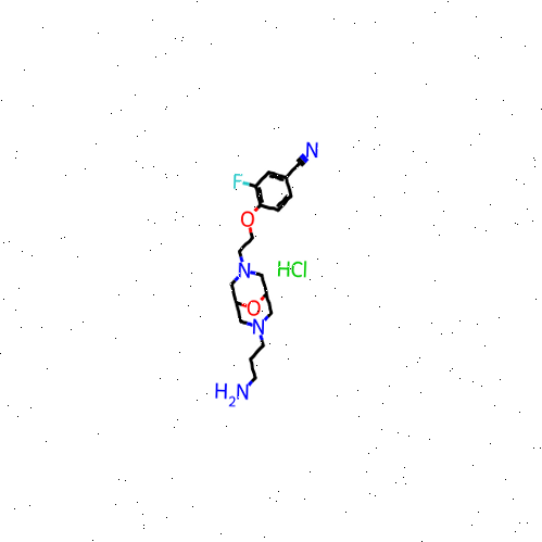 Cl.N#Cc1ccc(OCCN2CC3CN(CCCN)CC(C2)O3)c(F)c1